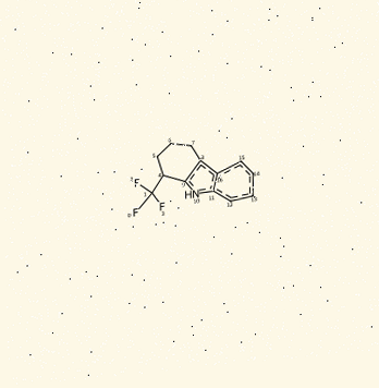 FC(F)(F)C1CCCc2c1[nH]c1ccccc21